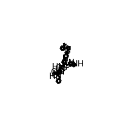 CC(C)c1ccccc1[C@H]1CCCN1C1CC2(CCN(c3ccc(C(=O)NS(=O)(=O)c4cc([N+](=O)[O-])c(NCC5CCCCC5)cn4)c(Oc4cnc5[nH]ccc5c4)c3)CC2)C1